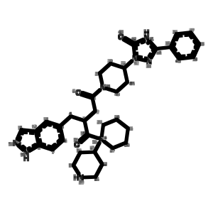 O=C(CC(Cc1ccc2[nH]ncc2c1)C(=O)[N+]1(C2CCNCC2)CCCCC1)N1CCC(n2nc(-c3ccccc3)[nH]c2=O)CC1